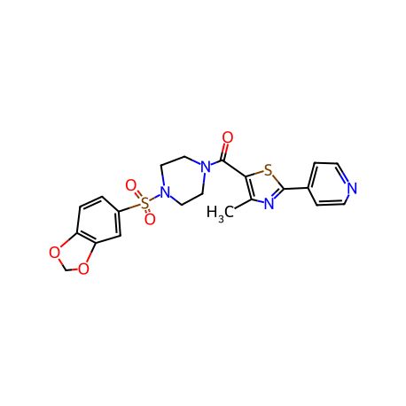 Cc1nc(-c2ccncc2)sc1C(=O)N1CCN(S(=O)(=O)c2ccc3c(c2)OCO3)CC1